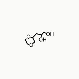 OCC(O)CC1COCCO1